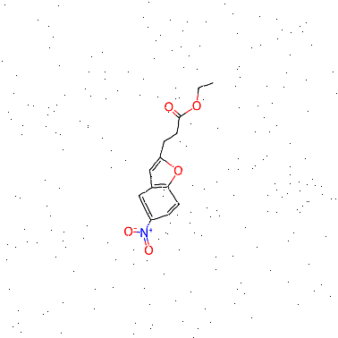 CCOC(=O)CCc1cc2cc([N+](=O)[O-])ccc2o1